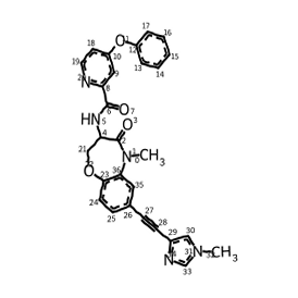 CN1C(=O)C(NC(=O)c2cc(Oc3ccccc3)ccn2)COc2ccc(C#Cc3cn(C)cn3)cc21